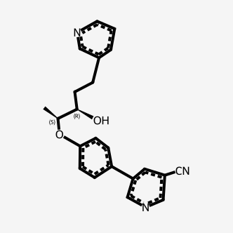 C[C@H](Oc1ccc(-c2cncc(C#N)c2)cc1)[C@H](O)CCc1cccnc1